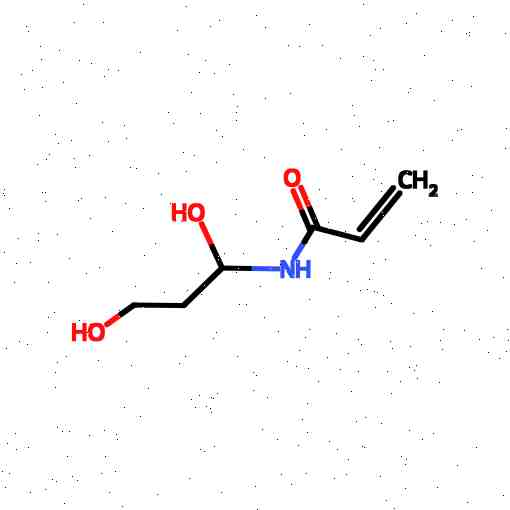 C=CC(=O)NC(O)CCO